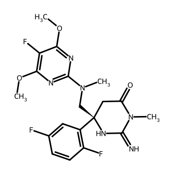 COc1nc(N(C)C[C@@]2(c3cc(F)ccc3F)CC(=O)N(C)C(=N)N2)nc(OC)c1F